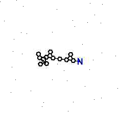 N#Cc1ccc2c3ccc(-c4ccc(-c5ccc6c(c5)c5ccccc5c5cc7c(cc65)[Si](c5ccccc5)(c5ccccc5)c5ccc6ccccc6c5-7)cc4)cc3c3ccccc3c2c1